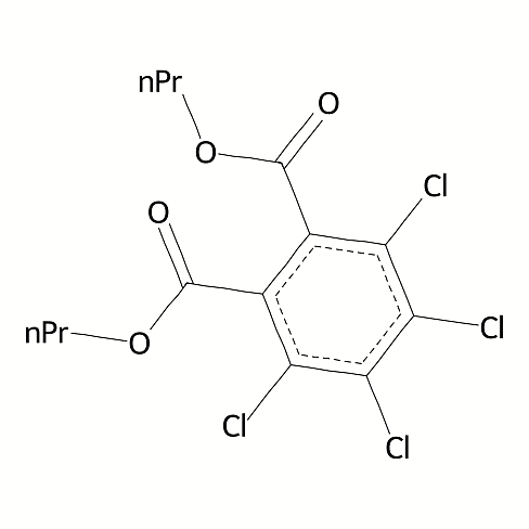 CCCOC(=O)c1c(Cl)c(Cl)c(Cl)c(Cl)c1C(=O)OCCC